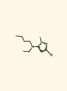 CCCCN(CC)c1cc(Br)nn1C